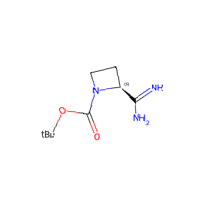 CC(C)(C)OC(=O)N1CC[C@H]1C(=N)N